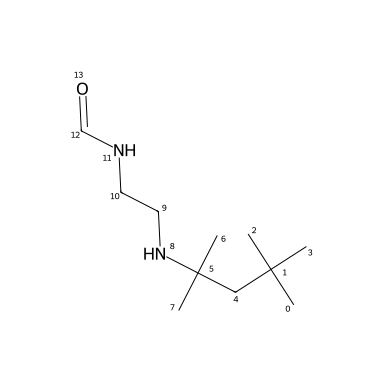 CC(C)(C)CC(C)(C)NCCNC=O